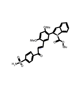 COc1cc(OC)c(-c2cc3ccccc3n2C(=O)OC(C)(C)C)cc1/C=C/C(=O)c1ccc(S(N)(=O)=O)cc1